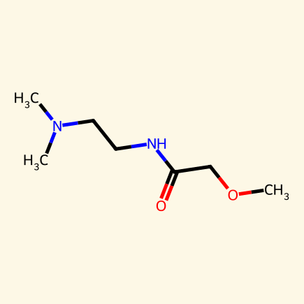 COCC(=O)NCCN(C)C